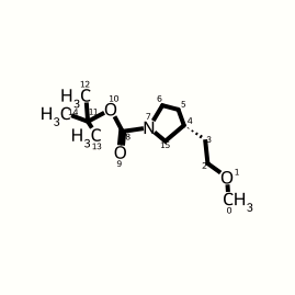 COCC[C@H]1CCN(C(=O)OC(C)(C)C)C1